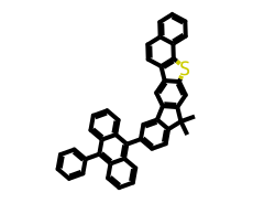 CC1(C)c2ccc(-c3c4ccccc4c(-c4ccccc4)c4ccccc34)cc2-c2cc3c(cc21)sc1c2ccccc2ccc31